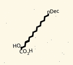 CCCCCCCCCCCCCCCCCCCCC=CCC(O)C(=O)O